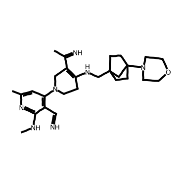 CNc1nc(C)cc(N2CCC(NCC34CCC(N5CCOCC5)(CC3)C4)=C(C(C)=N)C2)c1C=N